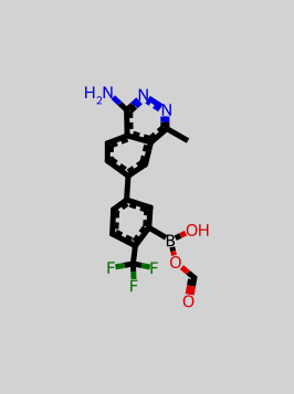 Cc1nnc(N)c2ccc(-c3ccc(C(F)(F)F)c(B(O)OC=O)c3)cc12